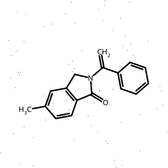 C=C(c1ccccc1)N1Cc2cc(C)ccc2C1=O